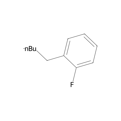 CCC[CH]Cc1ccccc1F